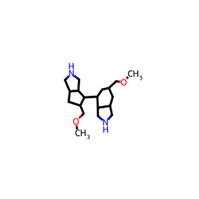 COCC1CC2CNCC2C(C2C(COC)CC3CNCC32)C1